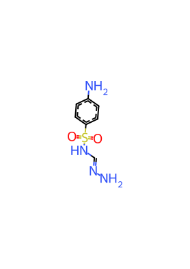 NN=CNS(=O)(=O)c1ccc(N)cc1